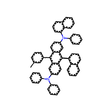 Cc1cccc(-c2c3cc(N(c4ccccc4)c4ccccc4)ccc3c(-c3cccc4ccccc34)c3cc(N(c4ccccc4)c4cccc5ccccc45)ccc23)c1